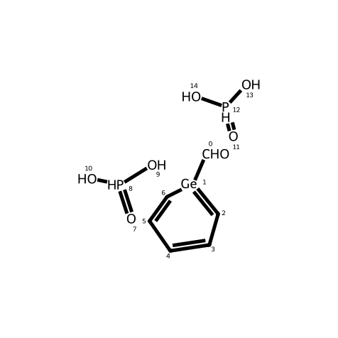 O=[CH][Ge]1=[CH]C=CC=[CH]1.O=[PH](O)O.O=[PH](O)O